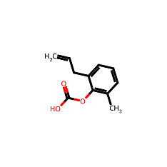 C=CCc1cccc(C)c1OC(=O)O